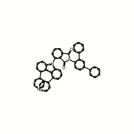 O=C1c2cccc(-n3c4cccc(-c5ccncc5)c4c4c(-c5ccncc5)cccc43)c2C(=O)N1c1ccc(-c2ccccc2)cc1-c1ccccc1